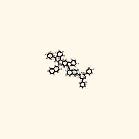 c1ccc(-c2nc(-c3ccccc3)nc(-c3ccc4c(-n5c6ccccc6c6cc7c8c9ccccc9c(-c9ccccc9)cc8n(-c8ccc9ccccc9c8)c7cc65)cccc4c3)n2)cc1